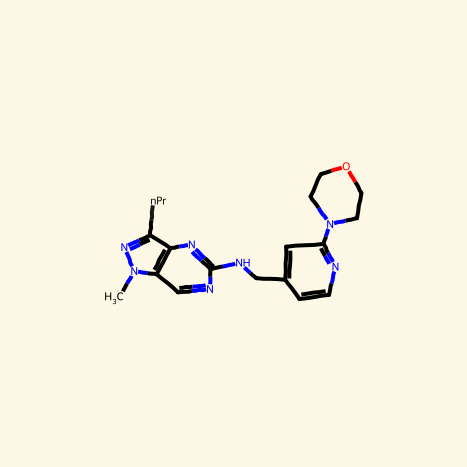 CCCc1nn(C)c2cnc(NCc3ccnc(N4CCOCC4)c3)nc12